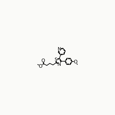 COC(=O)CCCc1nc(-c2ccc(OC)cc2)c(-c2cccnc2)s1